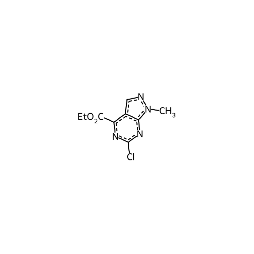 CCOC(=O)c1nc(Cl)nc2c1cnn2C